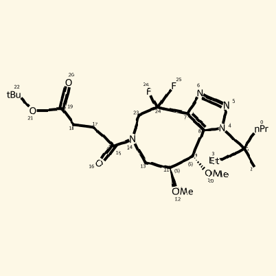 CCCC(C)(CC)n1nnc2c1[C@H](OC)[C@@H](OC)CN(C(=O)CCC(=O)OC(C)(C)C)CC2(F)F